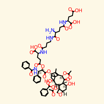 CC(=O)O[C@H]1C(=O)[C@@]2(C)[C@H]([C@H](OC(=O)c3ccccc3)[C@]3(O)C[C@H](OC(=O)[C@H](OC(=O)CCC(NC(=O)CCCNC(=O)C(N)CCC(=O)NC(CCC(=O)O)C(=O)O)C(=O)O)[C@@H](NC(=O)c4ccccc4)c4ccccc4)C(C)=C1C3(C)C)[C@]1(OC(C)=O)CO[C@@H]1C[C@@H]2O